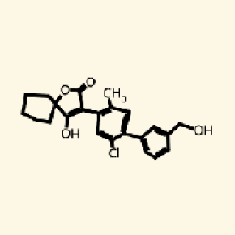 Cc1cc(-c2cccc(CO)c2)c(Cl)cc1C1=C(O)C2(CCCCC2)OC1=O